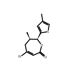 CCC1=CC(=O)O[C@H](c2cc(C)cs2)[C@H](C)C1